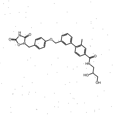 Cc1cc(C(=O)NCC(O)CO)ccc1-c1cccc(COc2ccc(Cn3oc(=O)[nH]c3=O)cc2)c1